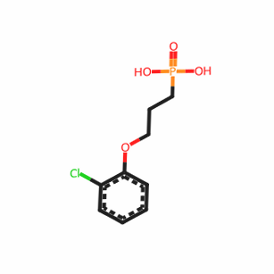 O=P(O)(O)CCCOc1ccccc1Cl